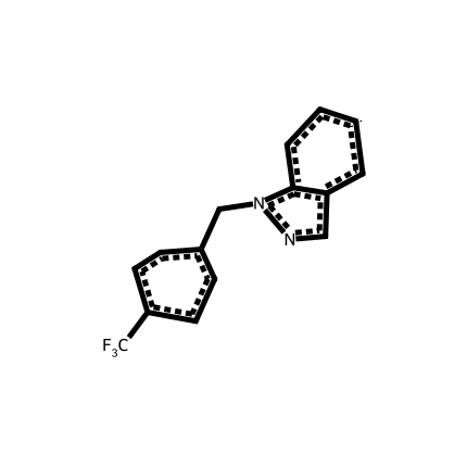 FC(F)(F)c1ccc(Cn2ncc3c[c]ccc32)cc1